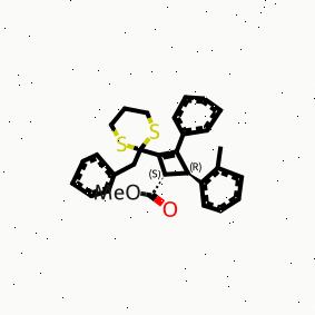 COC(=O)[C@@H]1C(C2(Cc3ccccc3)SCCCS2)=C(c2ccccc2)[C@H]1c1ccccc1C